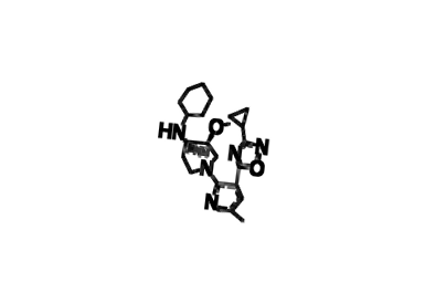 CO[C@H]1CN(c2ncc(C)cc2-c2nc(C3CC3)no2)CC[C@H]1NC1CCCCC1